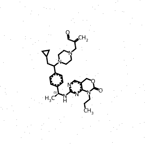 C=C(C=O)CN1CCN(C(CC2CC2)c2ccc([C@H](C)Nc3ncc4c(n3)N(CCC)C(=O)OC4)cc2)CC1